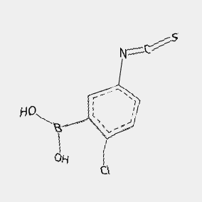 OB(O)c1cc(N=C=S)ccc1Cl